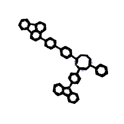 C1=C(c2ccc(-n3c4ccccc4c4ccccc43)cc2)\N=C(\c2ccc(-c3ccc(-c4ccc5c6c(cccc46)-c4ccccc4-5)cc3)cc2)CC\C=C/1c1ccccc1